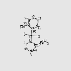 CC(C)(c1ccccc1N)c1ccccc1F